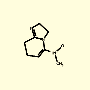 C[NH+]([O-])C1=CCCC2=NCCN12